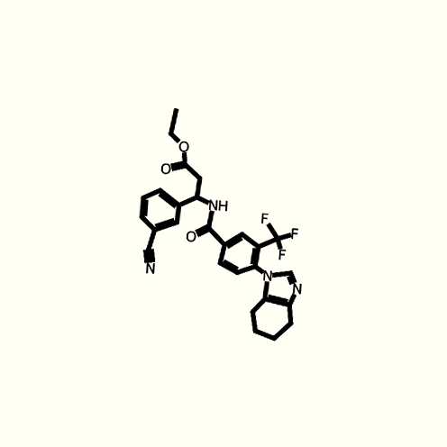 CCOC(=O)CC(NC(=O)c1ccc(-n2cnc3c2CCCC3)c(C(F)(F)F)c1)c1cccc(C#N)c1